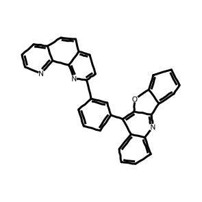 c1cc(-c2ccc3ccc4cccnc4c3n2)cc(-c2c3ccccc3nc3c2oc2ccccc23)c1